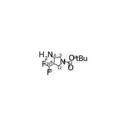 CC(C)(C)OC(=O)N1CC(N)C(C(F)F)C1